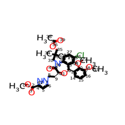 COC(=O)c1ccn(CC[C@H]2O[C@H](c3cccc(OC)c3OC)c3cc(Cl)ccc3N(CC(C)(C)COC(C)=O)C2=O)n1